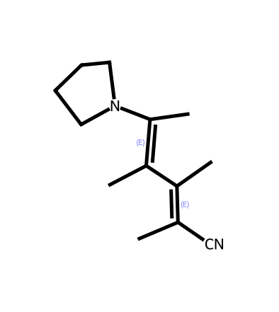 C/C(C#N)=C(C)\C(C)=C(/C)N1CCCC1